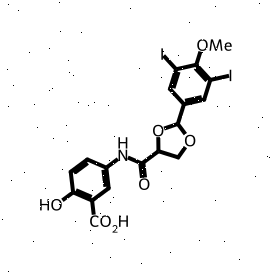 COc1c(I)cc(C2OCC(C(=O)Nc3ccc(O)c(C(=O)O)c3)O2)cc1I